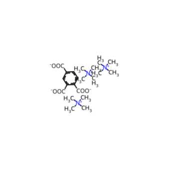 C[N+](C)(C)C.C[N+](C)(C)C.C[N+](C)(C)C.O=C([O-])c1ccc(C(=O)[O-])c(C(=O)[O-])c1